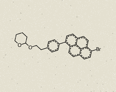 Brc1ccc2ccc3c(-c4ccc(CCOC5CCCCO5)cc4)ccc4ccc1c2c43